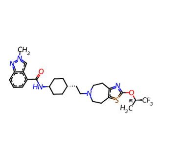 C[C@@H](Oc1nc2c(s1)CCN(CC[C@H]1CC[C@H](NC(=O)c3cccc4nn(C)cc34)CC1)CC2)C(F)(F)F